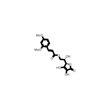 COc1ccc(C=CC(=O)OC[C@H](O)[C@H]2OC(=O)C(O)=C2O)c(OC)c1